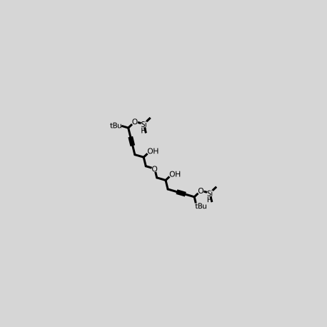 C[SiH](C)OC(C#CCC(O)COCC(O)CC#CC(O[SiH](C)C)C(C)(C)C)C(C)(C)C